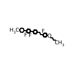 CCCCCOc1ccc(CCc2ccc(-c3ccc(C4CCC(C)CC4)c(F)c3F)cc2)c(F)c1